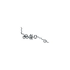 CCCC/C=C\CC(=O)OOc1cnc(-c2ccc(CCCCCOCCC)cc2)nc1